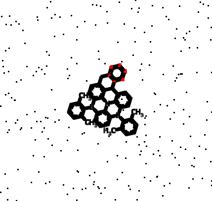 Cc1cccc(C)c1B1c2cccc3c2N2c4c1cccc4C14c5ccccc5C(c5ccccc51)c1ccc(c2c14)B3c1c(C)cccc1C